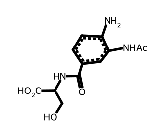 CC(=O)Nc1cc(C(=O)NC(CO)C(=O)O)ccc1N